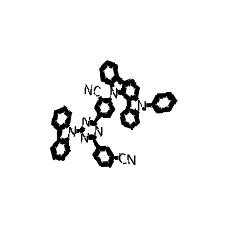 N#Cc1cccc(-c2nc(-c3ccc(-n4c5ccccc5c5ccc6c(c7ccccc7n6-c6ccccc6)c54)c(C#N)c3)nc(-n3c4ccccc4c4ccccc43)n2)c1